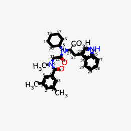 Cc1cc(C)cc(C(=O)N(C)CC(=O)N(C2CCCCC2)[C@@H](Cc2c[nH]c3ccccc23)C(=O)O)c1